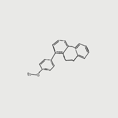 CCOc1ccc(-c2cccc3c2CCc2ccccc2-3)cc1